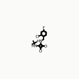 CC(C)(C)Nc1c(NCc2ccc(F)cc2Cl)c(=O)c1=O